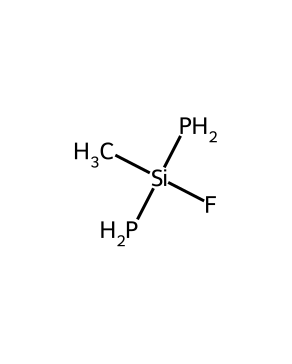 C[Si](F)(P)P